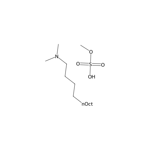 CCCCCCCCCCCCN(C)C.COS(=O)(=O)O